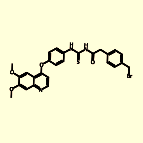 COc1cc2nccc(Oc3ccc(NC(=S)NC(=O)Cc4ccc(CBr)cc4)cc3)c2cc1OC